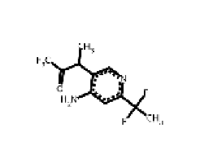 CC(C(=O)C(F)(F)F)c1cnc(C(C)(F)F)cc1N